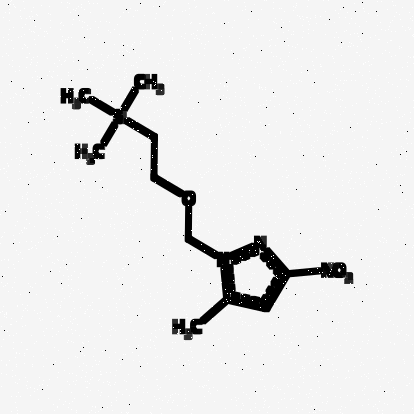 Cc1cc([N+](=O)[O-])nn1COCC[Si](C)(C)C